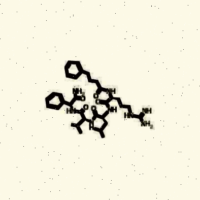 CC(C)C[C@H](NC(=O)[C@H](CCCNC(=N)N)NC(=O)CCCc1ccccc1)C(=O)N[C@H](C(=O)N[C@H](C(N)=O)c1ccccc1)C(C)C